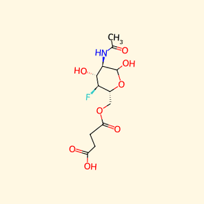 CC(=O)N[C@H]1C(O)O[C@H](COC(=O)CCC(=O)O)[C@@H](F)[C@@H]1O